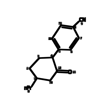 CCCC1CCC(c2ccc(C#N)cc2)C(=O)C1